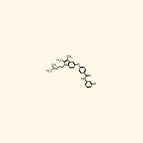 Cc1c(C)n(CCCN(C)C)c2ccc(Oc3ccc(C(=O)Nc4cccc(F)c4)cc3)cc12